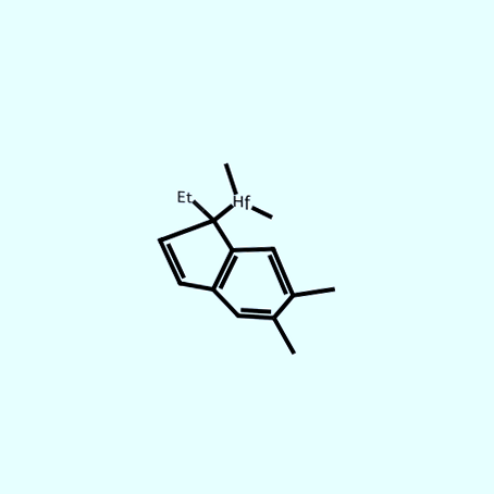 CC[C]1([Hf]([CH3])[CH3])C=Cc2cc(C)c(C)cc21